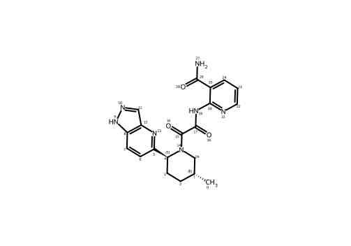 C[C@@H]1CC[C@@H](c2ccc3[nH]ncc3n2)N(C(=O)C(=O)Nc2ncccc2C(N)=O)C1